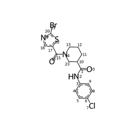 O=C(Nc1ccc(Cl)cc1)C1CCCN(C(=O)c2cnc(Br)s2)C1